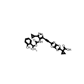 Cc1ccccc1C(C)OC(=O)Nc1c(C2CC2)nsc1C#Cc1nc2oc(C3(C(=O)O)CC3)nc2o1